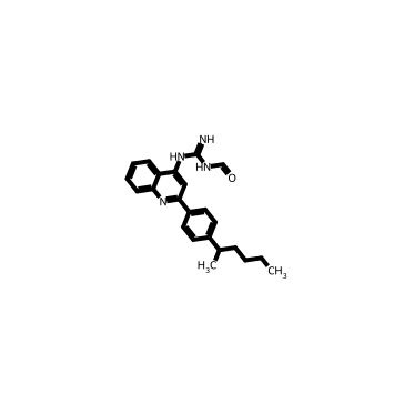 CCCCC(C)c1ccc(-c2cc(NC(=N)NC=O)c3ccccc3n2)cc1